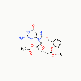 COC(=O)C[C@@H]1C[C@@H](OC(C)=O)[C@H](n2c(OCc3ccccc3)nc3c(=O)[nH]c(N)nc32)O1